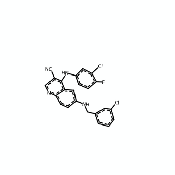 N#Cc1cnc2ccc(NCc3cccc(Cl)c3)cc2c1Nc1ccc(F)c(Cl)c1